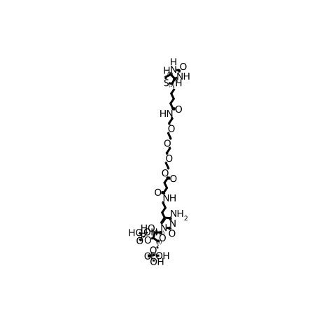 Nc1nc(=O)n([C@@H]2O[C@H](COP(=O)(O)O)C(OP(=O)(O)O)[C@@H]2O)cc1CCCNC(=O)CCC(=O)OCCOCCOCCOCCNC(=O)CCCC[C@@H]1SC[C@@H]2NC(=O)N[C@@H]21